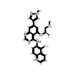 COC[C@@H](C)Oc1cc(-c2cnn(C)c2)cc2ncnc(Nc3ccc4ncccc4c3F)c12